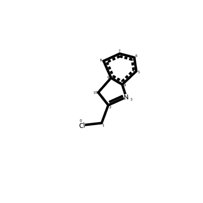 ClCC1=Nc2ccccc2C1